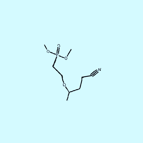 [CH2]C(CCC#N)OCCP(=O)(OC)OC